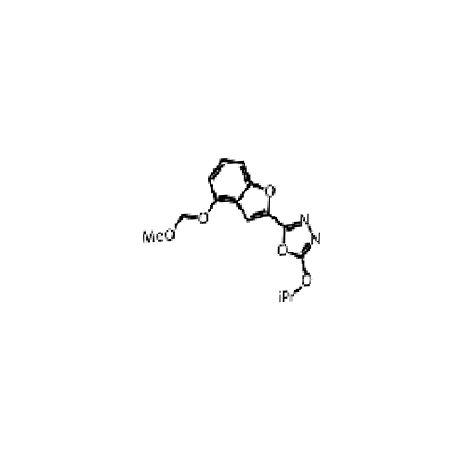 COCOc1cccc2oc(-c3nnc(OC(C)C)o3)cc12